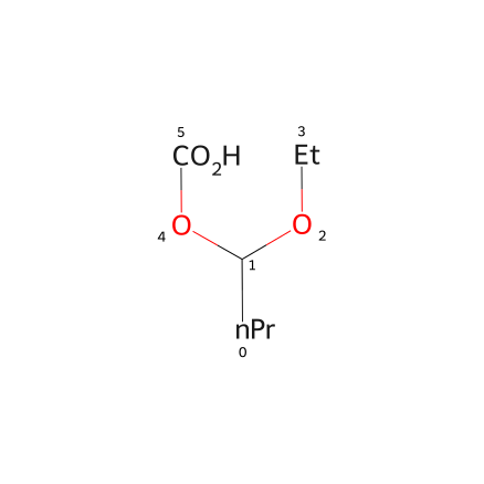 CCCC(OCC)OC(=O)O